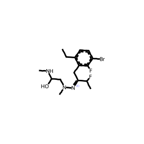 CCc1ccc(Br)c(F)c1C/C(=N\N(C)CC(O)NC)C(C)F